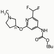 CN1CC[C@H](Oc2cc(NC(=O)OC(C)(C)C)cc(C(F)F)n2)C1